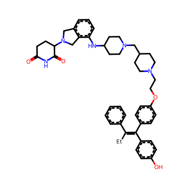 CCC(=C(c1ccc(O)cc1)c1ccc(OCCN2CCC(CN3CCC(Nc4cccc5c4CN(C4CCC(=O)NC4=O)C5)CC3)CC2)cc1)c1ccccc1